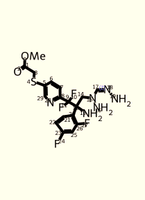 COC(=O)CSc1ccc(C(F)(F)C(N)(CN(N)/C=N\N)c2ccc(F)cc2F)nc1